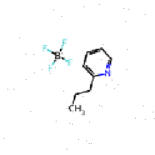 CCCc1ccccn1.F[B-](F)(F)F